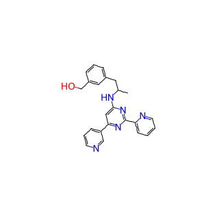 CC(Cc1cccc(CO)c1)Nc1cc(-c2cccnc2)nc(-c2ccccn2)n1